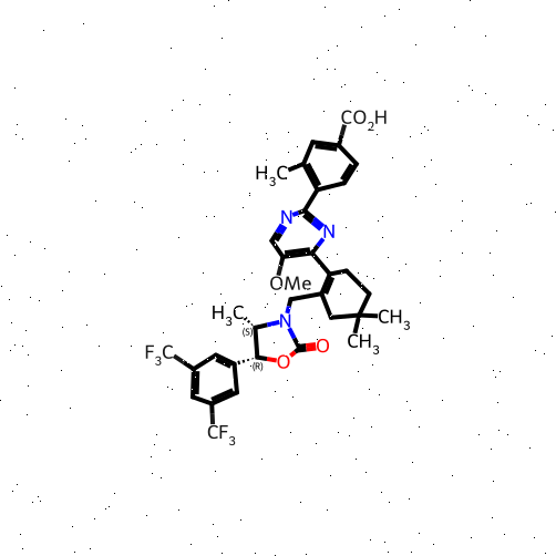 COc1cnc(-c2ccc(C(=O)O)cc2C)nc1C1=C(CN2C(=O)O[C@H](c3cc(C(F)(F)F)cc(C(F)(F)F)c3)[C@@H]2C)CC(C)(C)CC1